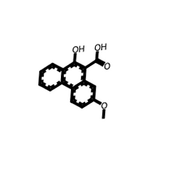 COc1ccc2c(c1)c(C(=O)O)c(O)c1ccccc12